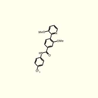 COc1cc(C(=O)Nc2ccc(C(F)(F)F)cc2)ccc1-c1ncccc1OC